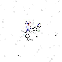 COc1ccc([C@@](C)(CC(C)(C)C)NC(=N)N(C=O)[C@H](COC(=O)N(C)C)c2ccc(Cl)c(-c3ccccn3)c2)c(F)c1